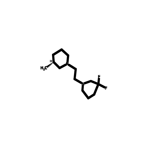 C[C@@H]1CCCN(CCN2CCCC(F)(F)C2)C1